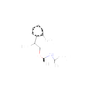 C=C(NC(C(=O)O)C(C)C)OCC(C)c1ccccc1[N+](=O)[O-]